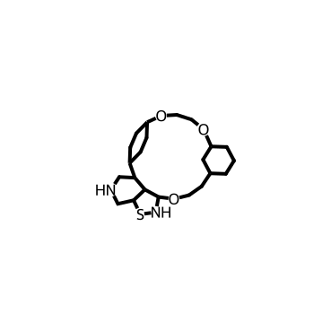 C1CC2CCOC3NSC4CNCC(C5CCC(CC5)OCCOC(C1)C2)C34